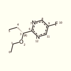 CCO[C@H](CC)c1ncc(F)cn1